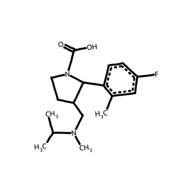 Cc1cc(F)ccc1C1C(CN(C)C(C)C)CCN1C(=O)O